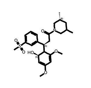 COC1=C[C@@H](O)C([C@H](CC(=O)N2CC(C)C[C@@H](C)C2)c2cccc(S(C)(=O)=O)c2)C(OC)=C1